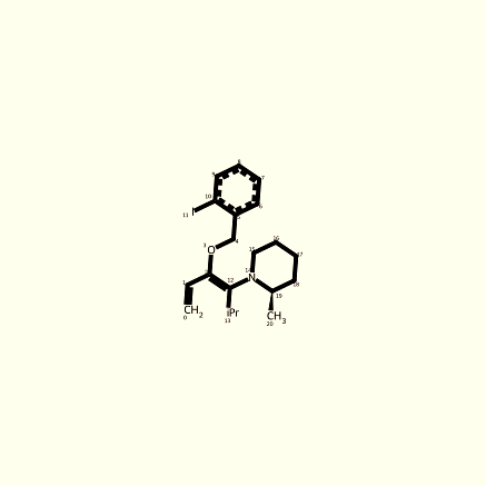 C=CC(OCc1ccccc1I)=C(C(C)C)N1CCCC[C@H]1C